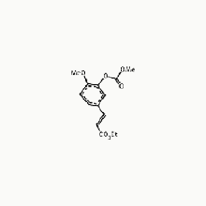 CCOC(=O)/C=C/c1ccc(OC)c(OC(=O)OC)c1